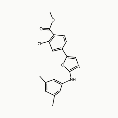 COC(=O)c1ccc(-c2cnc(Nc3cc(C)cc(C)c3)o2)cc1Cl